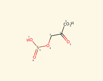 O=C(O)C(=O)COS(=O)O